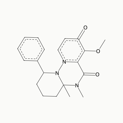 COc1c2n(ccc1=O)N1C(c3ccccc3)CCCC1(C)N(C)C2=O